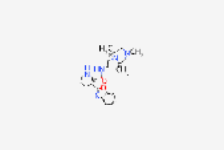 C[C@@H]1CN(C)C[C@H](C)N1CCNC(=O)[C@H]1NCCCC1c1nc2ccccc2o1